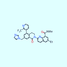 CCc1cc(C(=O)NC)c2nc(N3CCc4c(cc(Cn5ccnc5)cc4-c4cccnc4C(F)(F)F)C3=O)ccc2c1